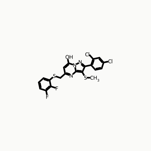 CSc1c(-c2ccc(Cl)cc2Cl)nn2c(O)cc(CSc3cccc(F)c3F)nc12